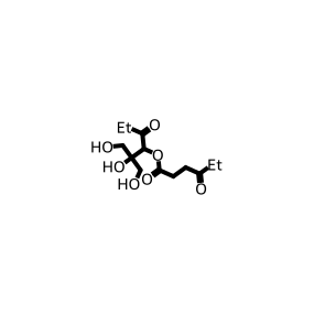 CCC(=O)CCC(=O)OC(C(=O)CC)C(O)(CO)CO